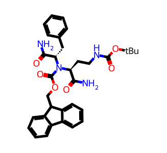 CC(C)(C)OC(=O)NCC[C@@H](C(N)=O)N(C(=O)OCC1c2ccccc2-c2ccccc21)[C@@H](Cc1ccccc1)C(N)=O